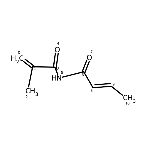 C=C(C)C(=O)NC(=O)C=CC